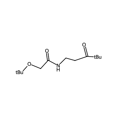 CC(C)(C)OCC(=O)NCCC(=O)C(C)(C)C